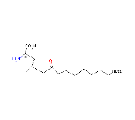 CCCCCCCCCCCCCCCCCC(=O)CC(C)C[C@@H](N)C(=O)O